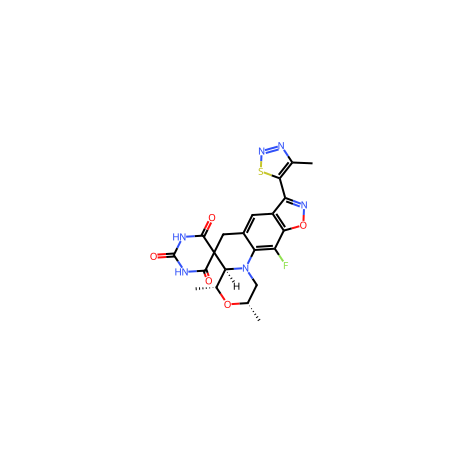 Cc1nnsc1-c1noc2c(F)c3c(cc12)CC1(C(=O)NC(=O)NC1=O)[C@@H]1[C@@H](C)O[C@@H](C)CN31